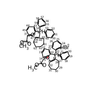 Br.COC(=O)COC1=C([PH](c2ccccc2)(c2ccccc2)c2ccccc2)CCCCC1.COC(=O)COC1=C([PH](c2ccccc2)(c2ccccc2)c2ccccc2)CCCCC1